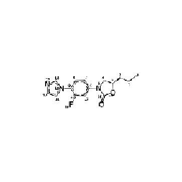 CCC[C@@H]1CN(c2ccc(-n3ccnc3)c(F)c2)C(=O)O1